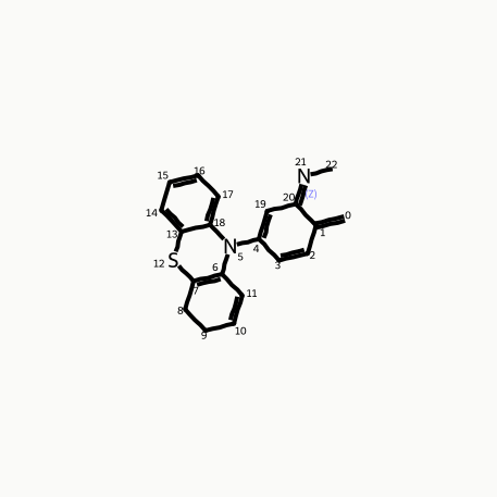 C=C1C=CC(N2C3=C(CCC=C3)Sc3ccccc32)=C/C1=N/C